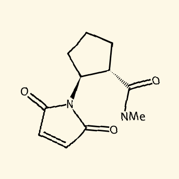 CNC(=O)[C@H]1CCC[C@@H]1N1C(=O)C=CC1=O